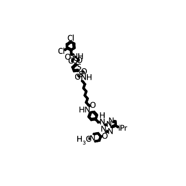 CC(C)c1cnn2c(NCc3ccc(NC(=O)CCCCCCCNS(=O)(=O)c4ccc(S(=O)(=O)NC(=O)c5ccc(Cl)cc5Cl)s4)cc3)nc(OC3CCN(C)CC3)nc12